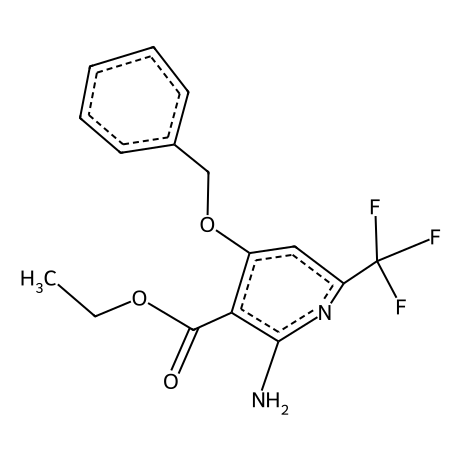 CCOC(=O)c1c(OCc2ccccc2)cc(C(F)(F)F)nc1N